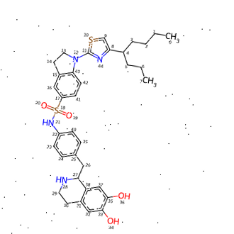 CCCCC(CCC)c1csc(N2CCc3cc(S(=O)(=O)Nc4ccc(CC5NCCc6cc(O)c(O)cc65)cc4)ccc32)n1